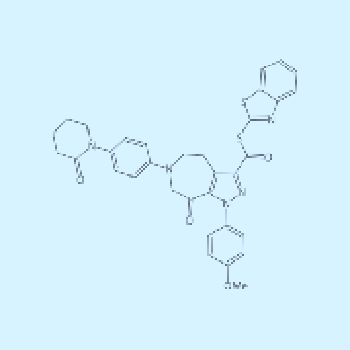 COc1ccc(-n2nc(C(=O)Sc3nc4ccccc4s3)c3c2C(=O)CN(c2ccc(N4CCCCC4=O)cc2)CC3)cc1